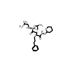 CC(C)CNNC(=O)[C@H](CC(C)C)[C@H](CCCc1ccccc1)C(=O)NOC1CCCCO1